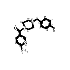 Nc1ccc(C(=O)N2CCN(Cc3ccc(F)cc3)CC2)cn1